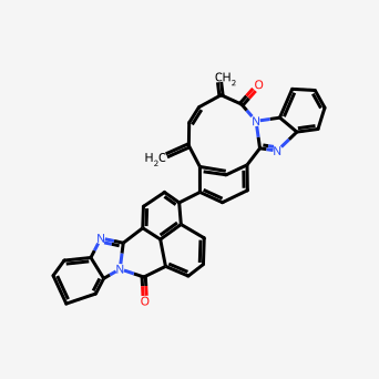 C=c1ccc(=C)c2cc(ccc2-c2ccc3c4c2cccc4c(=O)n2c4ccccc4nc32)c2nc3ccccc3n2c1=O